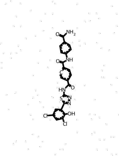 NC(=O)c1ccc(NC(=O)c2ccc(C(=O)Nc3nnc(-c4cc(Cl)cc(Cl)c4O)s3)cc2)cc1